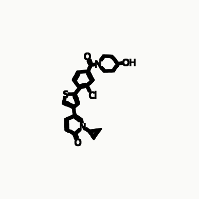 O=C(c1ccc(-c2cc(-c3ccc(=O)n(C4CC4)c3)cs2)c(Cl)c1)N1CCC(O)CC1